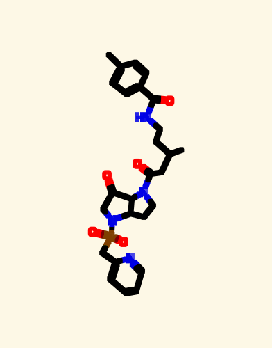 Cc1ccc(C(=O)NCCC(C)CC(=O)N2CCC3C2C(=O)CN3S(=O)(=O)Cc2ccccn2)cc1